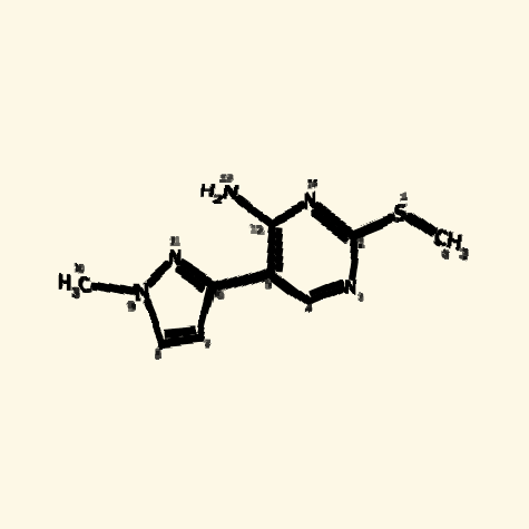 CSc1ncc(-c2ccn(C)n2)c(N)n1